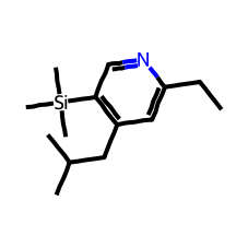 CCc1cc(CC(C)C)c([Si](C)(C)C)cn1